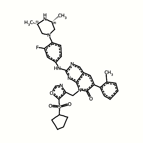 Cc1ccccc1-c1cc2cnc(Nc3ccc(N4C[C@@H](C)N[C@@H](C)C4)c(F)c3)nc2n(Cc2ncoc2S(=O)(=O)C2CCCC2)c1=O